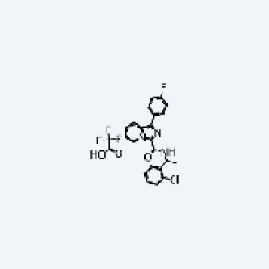 CC(NC(=O)c1nc(-c2ccc(F)cc2)c2ccccn12)c1ccccc1Cl.O=C(O)C(F)(F)F